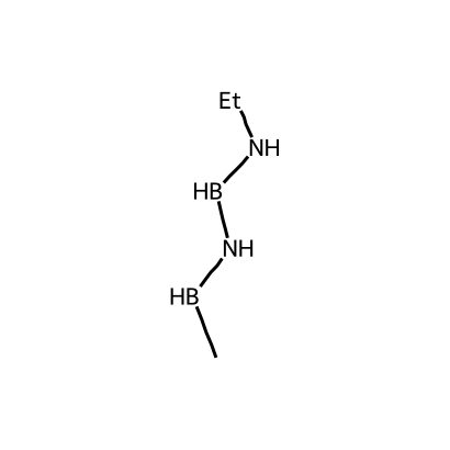 CBNBNCC